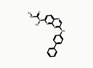 CCNC(=O)N(S)c1ccc2ncc(Nc3ccc(-c4ccccc4)cc3)nc2n1